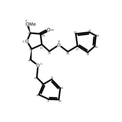 CO[C@@H]1O[C@H](COCc2ccccc2)C(COCc2ccccc2)C1=O